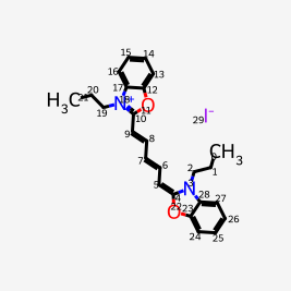 CCCN1C(=CC=CC=Cc2oc3ccccc3[n+]2CCC)Oc2ccccc21.[I-]